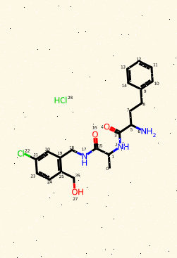 CC(NC(=O)C(N)CCc1ccccc1)C(=O)NCc1cc(Cl)ccc1CO.Cl